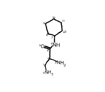 NCC(N)C(=O)NC1CCCCC1